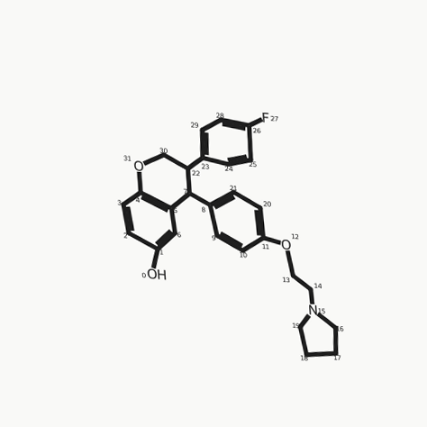 Oc1ccc2c(c1)C(c1ccc(OCCN3CCCC3)cc1)C(c1ccc(F)cc1)CO2